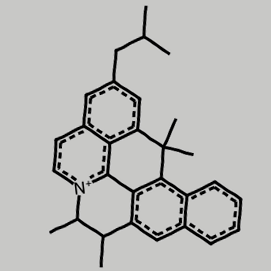 CC(C)Cc1cc2c3c4[n+](ccc3c1)C(C)C(C)c1cc3ccccc3c(c1-4)C2(C)C